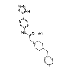 Cl.O=C(CN1CCC(Cc2ccc(F)cc2)CC1)Nc1ccc(-c2cnn[nH]2)cc1